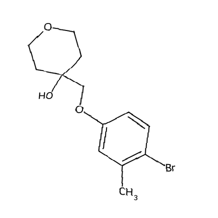 Cc1cc(OCC2(O)CCOCC2)ccc1Br